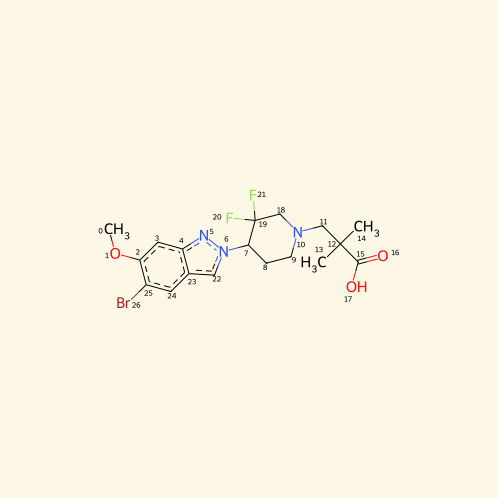 COc1cc2nn(C3CCN(CC(C)(C)C(=O)O)CC3(F)F)cc2cc1Br